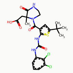 CC(C)(C)c1cc(C(=O)N2CCNC(=O)C2(C)CC(=O)O)c(NC(=O)Nc2cccc(Cl)c2Cl)s1